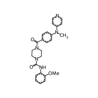 COc1ccccc1NC(=O)N1CCN(C(=O)c2ccc(N(C)c3ccncc3)cc2)CC1